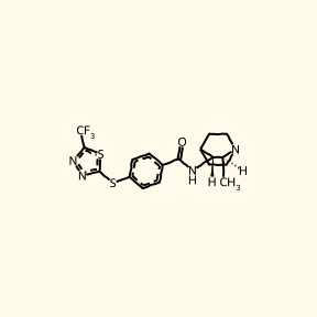 C[C@H]1[C@H](NC(=O)c2ccc(Sc3nnc(C(F)(F)F)s3)cc2)C2CCN1CC2